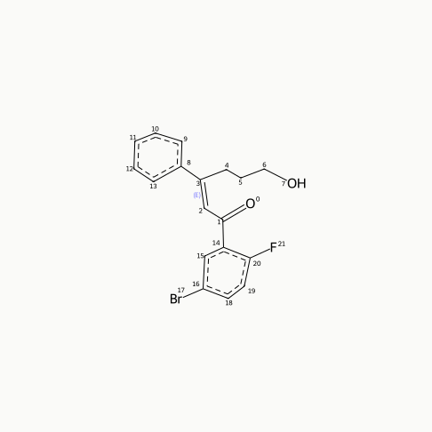 O=C(/C=C(\CCCO)c1ccccc1)c1cc(Br)ccc1F